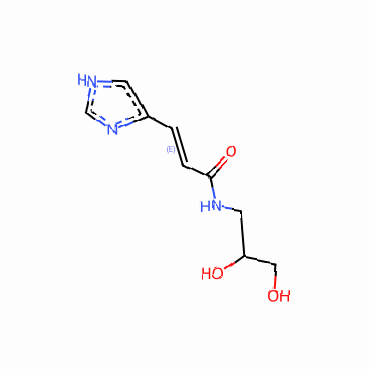 O=C(/C=C/c1c[nH]cn1)NCC(O)CO